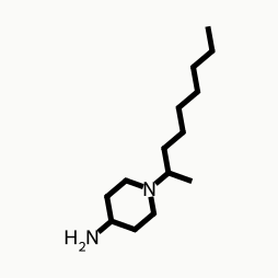 CCCCCCCC(C)N1CCC(N)CC1